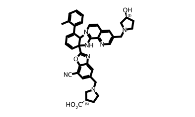 Cc1ccccc1C1=CC=CC(Nc2nccc3cc(CN4CC[C@H](O)C4)cnc23)(c2nc3cc(CN4CC[C@H](C(=O)O)C4)cc(C#N)c3o2)C1C